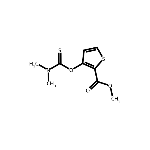 COC(=O)c1sccc1OC(=S)N(C)C